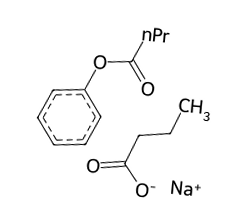 CCCC(=O)Oc1ccccc1.CCCC(=O)[O-].[Na+]